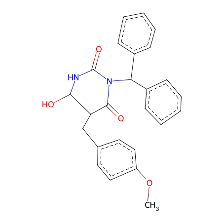 COc1ccc(CC2C(=O)N(C(c3ccccc3)c3ccccc3)C(=O)NC2O)cc1